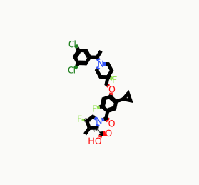 CC1[C@@H](C(=O)O)N(C(=O)c2cc(C3CC3)c(OCC3(F)CCN(C(C)c4cc(Cl)cc(Cl)c4)CC3)cc2F)C[C@@H]1F